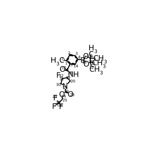 Cc1ccc(B2OC(C)(C)C(C)(C)O2)cc1C(=O)N[C@@H]1CN(C(=O)OCC(F)(F)F)C[C@@H]1F